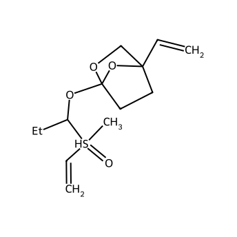 C=CC12CCC(OC(CC)[SH](C)(=O)C=C)(OC1)O2